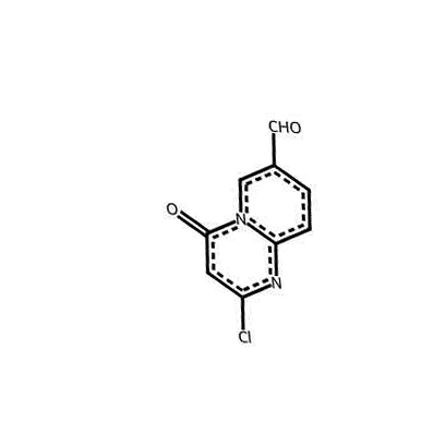 O=Cc1ccc2nc(Cl)cc(=O)n2c1